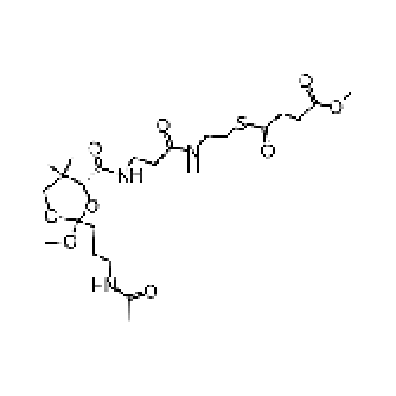 COC(=O)CCC(=O)SCCNC(=O)CCNC(=O)[C@@H]1OC(CCCNC(C)=O)(OC)OCC1(C)C